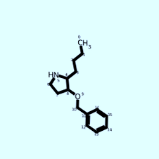 CCCCC1NCCC1OCc1ccccc1